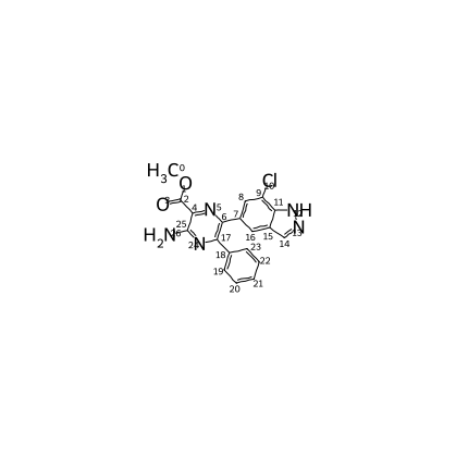 COC(=O)c1nc(-c2cc(Cl)c3[nH]ncc3c2)c(-c2ccccc2)nc1N